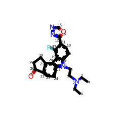 CCN(CC)CCn1c2ccc(-c3nnco3)c(F)c2c2c3c(ccc21)C(=O)CC3